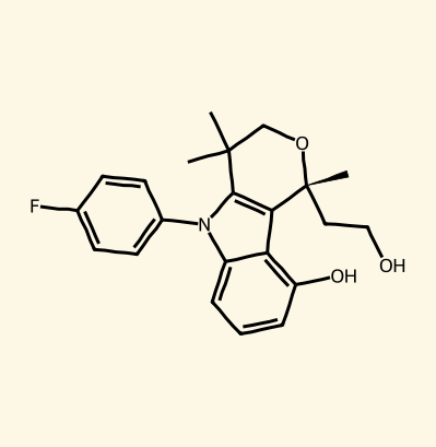 CC1(C)CO[C@](C)(CCO)c2c1n(-c1ccc(F)cc1)c1cccc(O)c21